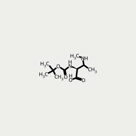 CNC(C)[C@H](NC(=O)OC(C)(C)C)C(=O)O